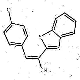 N#C/C(=C/c1ccc(Cl)cc1)c1nc2ccccc2s1